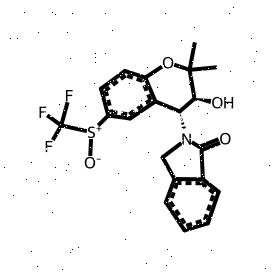 CC1(C)Oc2ccc([S+]([O-])C(F)(F)F)cc2[C@@H](N2Cc3ccccc3C2=O)[C@@H]1O